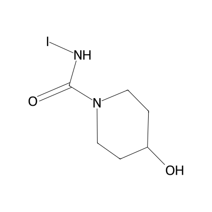 O=C(NI)N1CCC(O)CC1